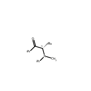 CCC(C)[C@@H](C(=O)C(C)C)N(C)C(C)C